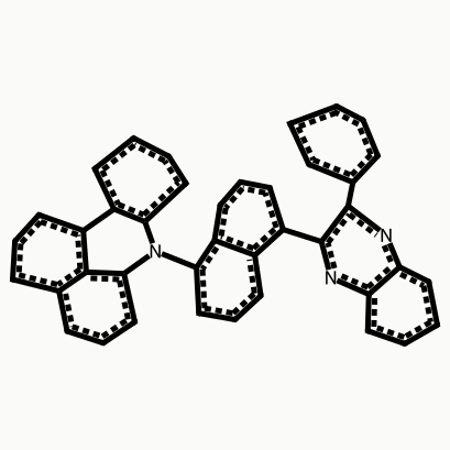 c1ccc(-c2nc3ccccc3nc2-c2cccc3c(N4c5ccccc5-c5cccc6cccc4c56)cccc23)cc1